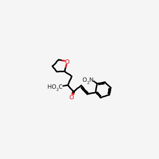 O=C(O)C(CC1CCCO1)C(=O)C=Cc1ccccc1[N+](=O)[O-]